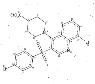 CCOC(=O)C1CCN(c2c(S(=O)(=O)c3ccc(Cl)cc3)cnc3c(CC)cccc23)CC1